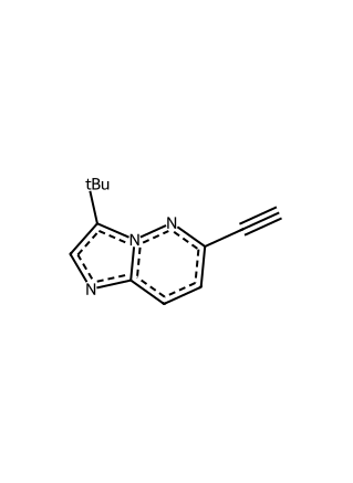 C#Cc1ccc2ncc(C(C)(C)C)n2n1